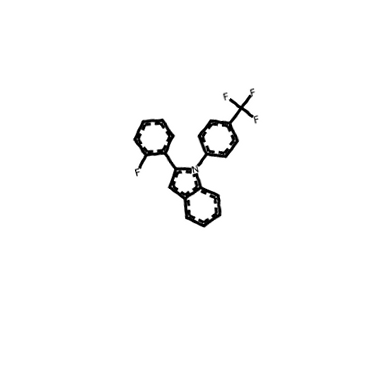 Fc1ccccc1-c1cc2ccccc2n1-c1ccc(C(F)(F)F)cc1